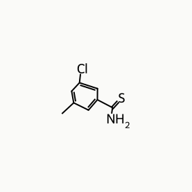 Cc1cc(Cl)cc(C(N)=S)c1